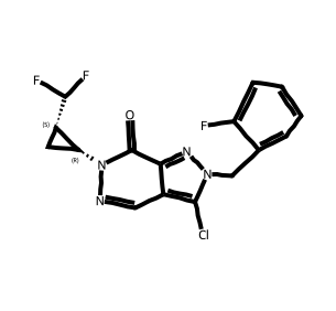 O=c1c2nn(Cc3ccccc3F)c(Cl)c2cnn1[C@@H]1C[C@@H]1C(F)F